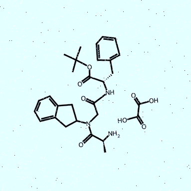 C[C@H](N)C(=O)N(CC(=O)N[C@@H](Cc1ccccc1)C(=O)OC(C)(C)C)C1Cc2ccccc2C1.O=C(O)C(=O)O